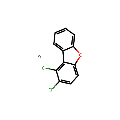 Clc1ccc2oc3ccccc3c2c1Cl.[Zr]